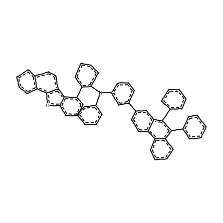 c1ccc(-c2c(-c3ccccc3)c3cc(-c4cccc(N(c5ccccc5)c5ccccc5-c5cccc6oc7c8ccccc8ccc7c56)c4)ccc3c3ccccc23)cc1